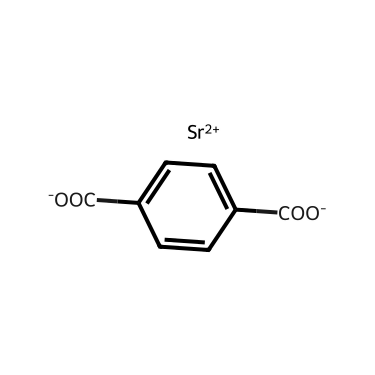 O=C([O-])c1ccc(C(=O)[O-])cc1.[Sr+2]